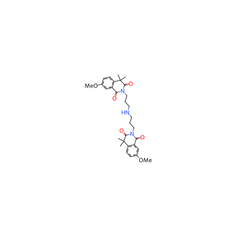 COc1ccc2c(c1)C(=O)N(CCCNCCCN1C(=O)c3cc(OC)ccc3C(C)(C)C1=O)C(=O)C2(C)C